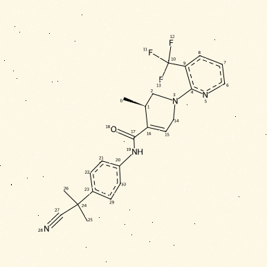 C[C@H]1CN(c2ncccc2C(F)(F)F)CC=C1C(=O)Nc1ccc(C(C)(C)C#N)cc1